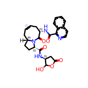 O=C1C[C@H](NC(=O)[C@@H]2CC[C@@H]3C/C=C\C[C@H](NC(=O)c4nccc5ccccc45)C(=O)N32)C(O)O1